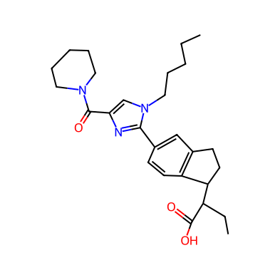 CCCCCn1cc(C(=O)N2CCCCC2)nc1-c1ccc2c(c1)CCC2C(CC)C(=O)O